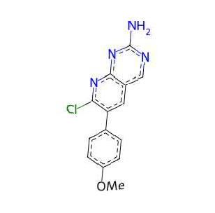 COc1ccc(-c2cc3cnc(N)nc3nc2Cl)cc1